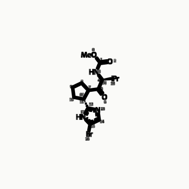 COC(=O)N[C@H](C(=O)C1CCC[C@H]1c1ncc(Br)[nH]1)C(C)C